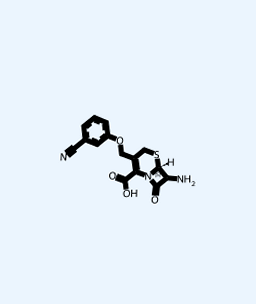 N#Cc1cccc(OCC2=C(C(=O)O)N3C(=O)C(N)[C@@H]3SC2)c1